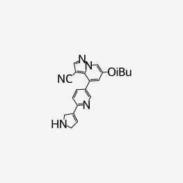 CC(C)COc1cc(-c2ccc(C3=CCNC3)nc2)c2c(C#N)cnn2c1